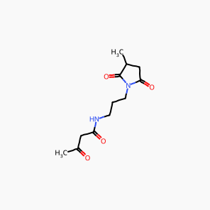 CC(=O)CC(=O)NCCCN1C(=O)CC(C)C1=O